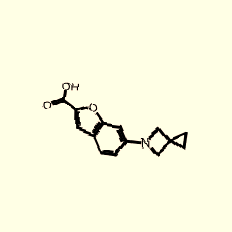 O=C(O)c1cc2ccc(N3CC4(CC4)C3)cc2o1